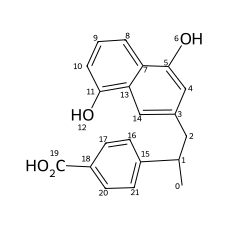 CC(Cc1cc(O)c2cccc(O)c2c1)c1ccc(C(=O)O)cc1